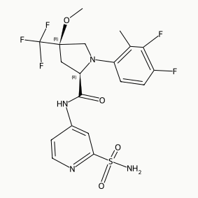 CO[C@]1(C(F)(F)F)C[C@H](C(=O)Nc2ccnc(S(N)(=O)=O)c2)N(c2ccc(F)c(F)c2C)C1